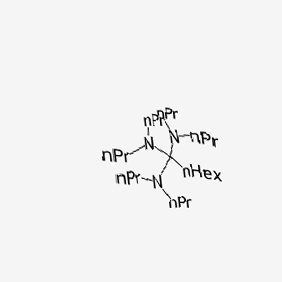 CCCCCCC(N(CCC)CCC)(N(CCC)CCC)N(CCC)CCC